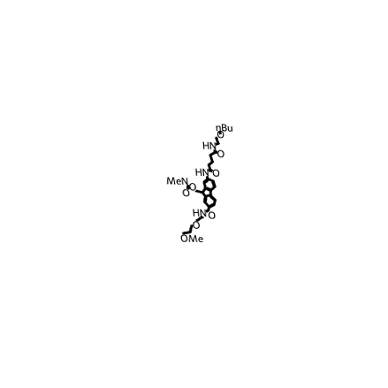 CCCCOCCNC(=O)CCCC(=O)Nc1ccc2c(c1)C(COC(=O)NC)c1cc(C(=O)NCCOCCCOC)ccc1-2